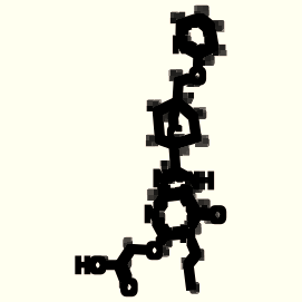 CCCn1c(OCC(=O)O)nc2nc(C34CCC(COc5ccccn5)(CC3)CC4)[nH]c2c1=O